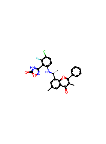 Cc1cc([C@@H](C)Nc2ccc(Cl)c(F)c2-c2noc(=O)[nH]2)c2oc(-c3ccccc3)c(C)c(=O)c2c1